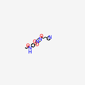 C=CC(=O)Nc1ccc(S(=O)(=O)N2CCN(C(=O)CCc3cccnc3)CC2)cc1